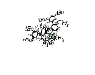 Cc1ccc2c(c1-c1cc(C(C)(C)C)cc(C(C)(C)C)c1)C=C(C(C)C)[CH]2[Zr]([Cl])([Cl])([CH]1C(C(C)C)=Cc2c1ccc(C)c2-c1cc(C(C)(C)C)cc(C(C)(C)C)c1)[SiH](C)C